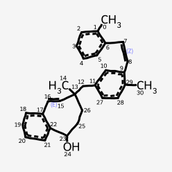 Cc1ccccc1/C=C\c1cc(CC2(C)/C=C/c3ccccc3C(O)CC2)ccc1C